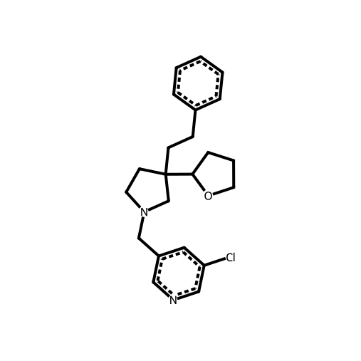 Clc1cncc(CN2CCC(CCc3ccccc3)(C3CCCO3)C2)c1